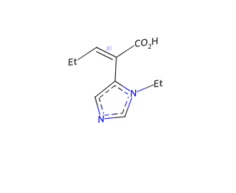 CC/C=C(/C(=O)O)c1cncn1CC